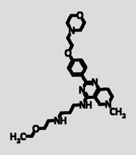 CCOCCNCCCNc1nc(-c2ccc(OCCN3CCOCC3)cc2)nc2c1CN(C)CC2